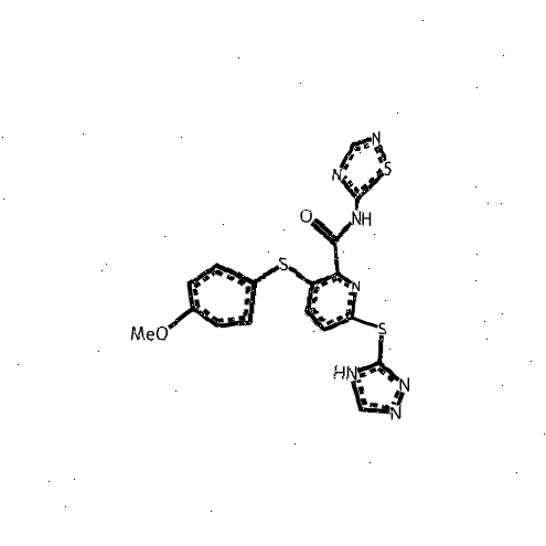 COc1ccc(Sc2ccc(Sc3nnc[nH]3)nc2C(=O)Nc2ncns2)cc1